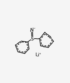 [Li+].[N-]=S(c1ccccc1)c1ccccc1